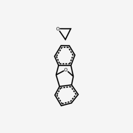 C1CO1.c1ccc2c(c1)C1OC2c2ccccc21